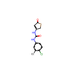 CCc1cc(NC(=O)NC2=CC(=O)SC2)ccc1Cl